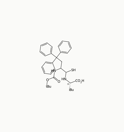 CCC(C)[C@H](NC(S)C(CC(c1ccccc1)(c1ccccc1)c1ccccc1)NC(=O)OC(C)(C)C)C(=O)O